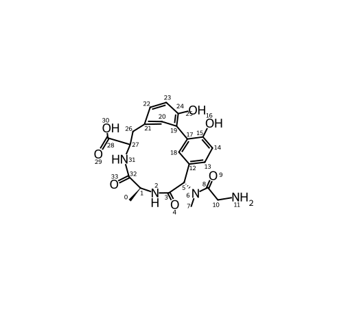 C[C@@H]1NC(=O)[C@@H](N(C)C(=O)CN)c2ccc(O)c(c2)-c2cc(ccc2O)CC(C(=O)O)NC1=O